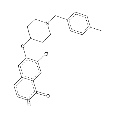 Cc1ccc(CN2CCC(Oc3cc4cc[nH]c(=O)c4cc3Cl)CC2)cc1